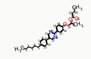 CCCCCCc1ccc(-c2cnc(-c3ccc(OCC(C)OC(=O)CCC)cc3)nc2)cc1